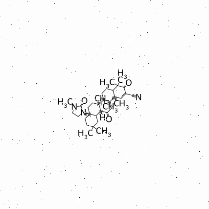 CN1CCN([C@]23CCC(C)(C)CC2[C@H]2C(=O)C=C4[C@@]5(C)C=C(C#N)C(=O)C(C)(C)C5CC[C@@]4(C)[C@]2(C)CC3)C1=O